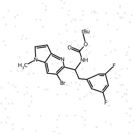 Cn1ccc2nc(C(Cc3cc(F)cc(F)c3)NC(=O)OC(C)(C)C)c(Br)cc21